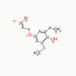 CCc1cc(OCC=C(F)Br)cc(CC)c1O